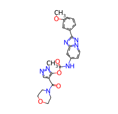 COc1cccc(-c2nc3cc(NC(=O)Oc4c(C(=O)N5CCOCC5)cnn4C)ccn3n2)c1